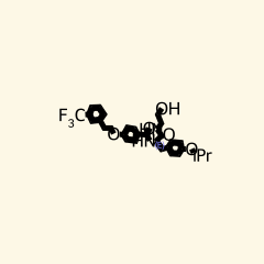 CC(C)Oc1ccc(/C=C(/NC(=O)c2ccc(OCCc3cccc(C(F)(F)F)c3)cc2)C(=O)NCCO)cc1